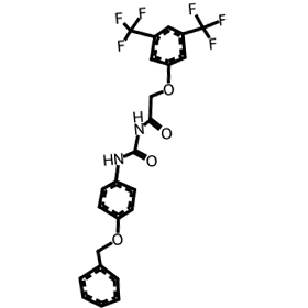 O=C(COc1cc(C(F)(F)F)cc(C(F)(F)F)c1)NC(=O)Nc1ccc(OCc2ccccc2)cc1